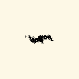 CCCc1noc(C2CCN(c3ncnc4c(-c5ccc(N6CCN(CCO)C6=O)c(F)c5)cc(F)cc34)CC2)n1